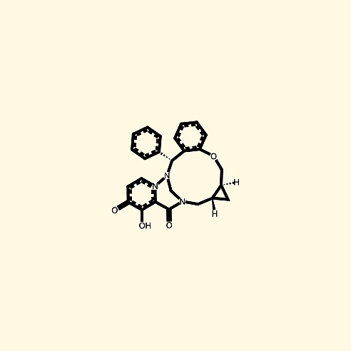 O=C1c2c(O)c(=O)ccn2N2CN1C[C@H]1C[C@@H]1COc1ccccc1[C@H]2c1ccccc1